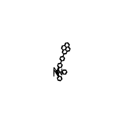 c1ccc(-c2nnc(-c3ccc(-c4ccc(-c5cc6ccc7cccc8ccc(c5)c6c78)cc4)cc3)n2-c2ccccc2)cc1